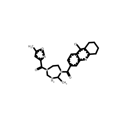 Cc1cc(C(=O)N2CCN(C(=O)c3ccc4c(Cl)c5c(nc4c3)CCCC5)C(C)[SiH2]C2)no1